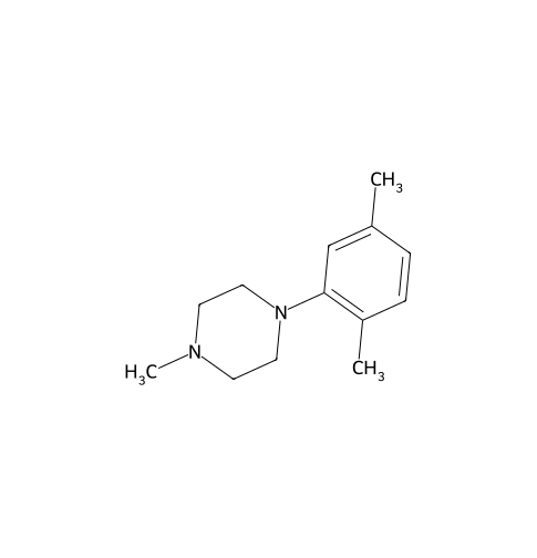 Cc1ccc(C)c(N2CCN(C)CC2)c1